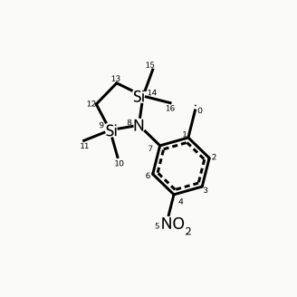 [CH2]c1ccc([N+](=O)[O-])cc1N1[Si](C)(C)CC[Si]1(C)C